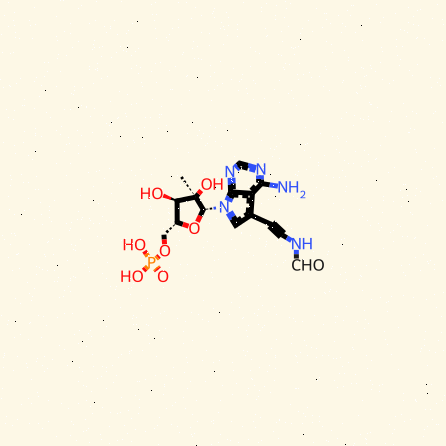 C[C@@]1(O)[C@H](O)[C@@H](COP(=O)(O)O)O[C@H]1n1cc(C#CNC=O)c2c(N)ncnc21